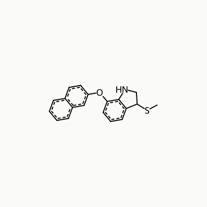 CSC1CNc2c(Oc3ccc4ccccc4c3)cccc21